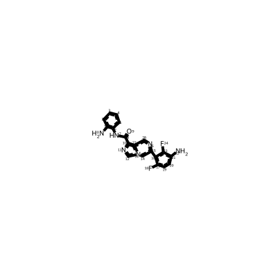 Nc1ccccc1NC(=O)c1ncn2cc(-c3c(F)ccc(N)c3F)ncc12